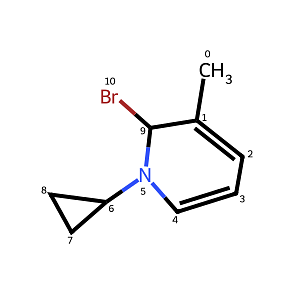 CC1=CC=CN(C2CC2)C1Br